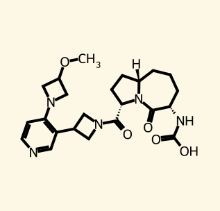 COC1CN(c2ccncc2C2CN(C(=O)[C@@H]3CC[C@@H]4CCC[C@H](NC(=O)O)C(=O)N43)C2)C1